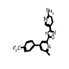 Cc1cc(-c2ccc(C(F)(F)F)cc2)cc(-c2nc(-c3ccc(N)nc3)no2)n1